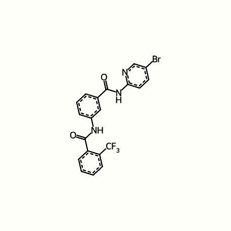 O=C(Nc1ccc(Br)cn1)c1cccc(NC(=O)c2ccccc2C(F)(F)F)c1